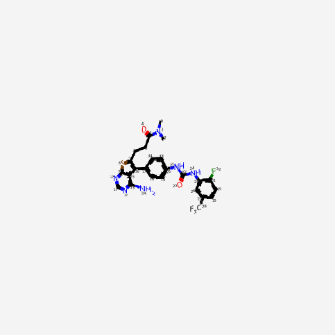 CN(C)C(=O)CCc1sc2ncnc(N)c2c1-c1ccc(NC(=O)Nc2cc(C(F)(F)F)ccc2F)cc1